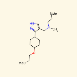 CNCCN(C)Cc1c[nH]nc1C1CCC(OCCOC)CC1